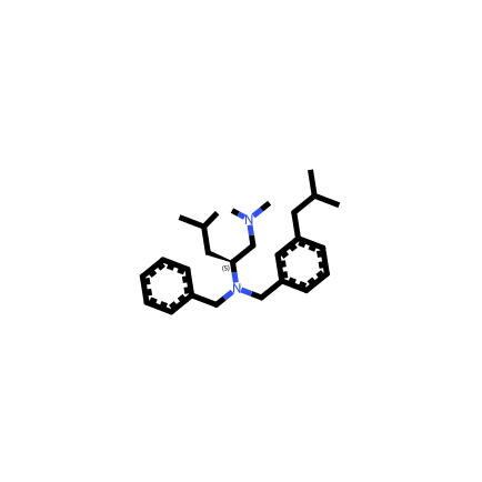 CC(C)Cc1cccc(CN(Cc2ccccc2)[C@@H](CC(C)C)CN(C)C)c1